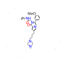 COc1cccc(-c2cn3cc(CCCCN4CCN(C)CC4)cc3c(=O)n2CC(=O)NC(C)C)c1